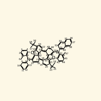 Cc1ccccc1N(c1ccccc1)c1ccc2c3ccc(C(C)(C)C)c4oc5c(N(c6ccc7ccccc7c6)c6ccccc6C)ccc(c6ccc(C(C)(C)C)c7oc1c2c76)c5c43